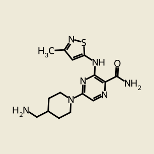 Cc1cc(Nc2nc(N3CCC(CN)CC3)cnc2C(N)=O)sn1